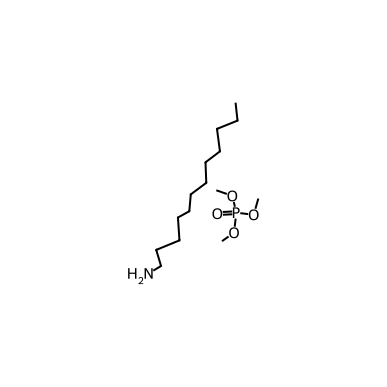 CCCCCCCCCCCCN.COP(=O)(OC)OC